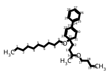 CCCCCCCCCCOC1(CCC(C)OCCCC)C=CC(c2ccccc2)=CC1